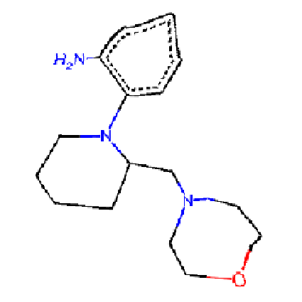 Nc1ccccc1N1CCCCC1CN1CCOCC1